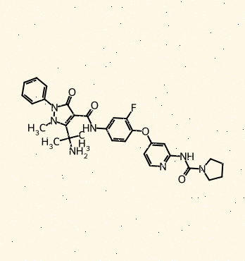 Cn1c(C(C)(C)N)c(C(=O)Nc2ccc(Oc3ccnc(NC(=O)N4CCCC4)c3)c(F)c2)c(=O)n1-c1ccccc1